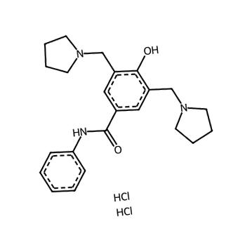 Cl.Cl.O=C(Nc1ccccc1)c1cc(CN2CCCC2)c(O)c(CN2CCCC2)c1